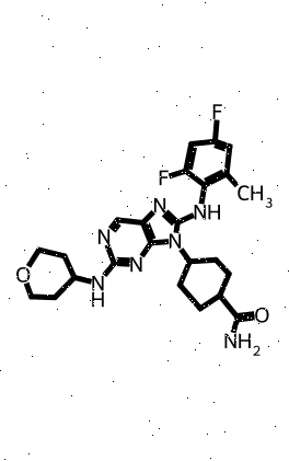 Cc1cc(F)cc(F)c1Nc1nc2cnc(NC3CCOCC3)nc2n1C1CCC(C(N)=O)CC1